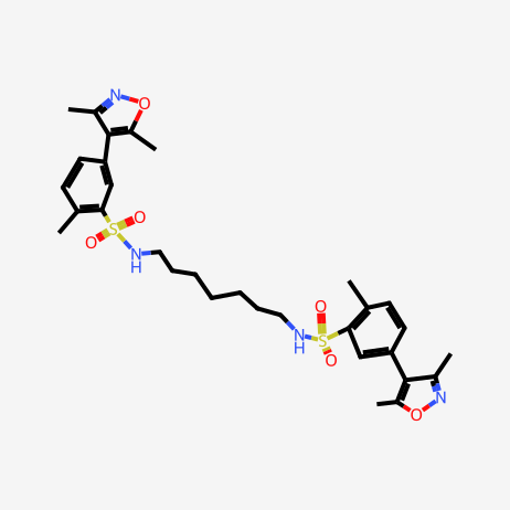 Cc1ccc(-c2c(C)noc2C)cc1S(=O)(=O)NCCCCCCCNS(=O)(=O)c1cc(-c2c(C)noc2C)ccc1C